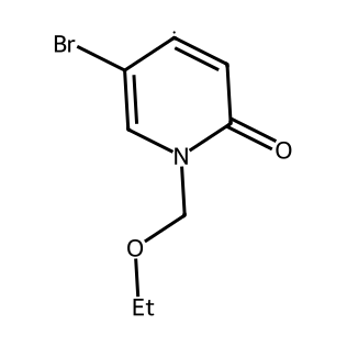 CCOCn1cc(Br)[c]cc1=O